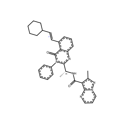 Cc1nn2cccnc2c1C(=O)N[C@H](C)c1nc2cccc(/C=C/C3CCCCC3)c2c(=O)n1-c1ccccc1